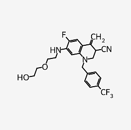 C=C1c2cc(F)c(NCCOCCO)cc2N(Cc2ccc(C(F)(F)F)cc2)CC1C#N